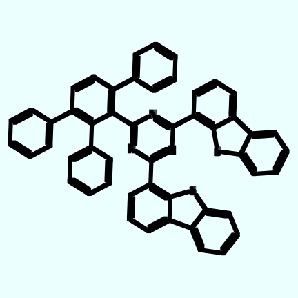 c1ccc(-c2ccc(-c3ccccc3)c(-c3nc(-c4cccc5c4sc4ccccc45)nc(-c4cccc5c4sc4ccccc45)n3)c2-c2ccccc2)cc1